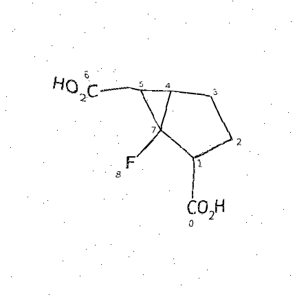 O=C(O)C1CCC2C(C(=O)O)C12F